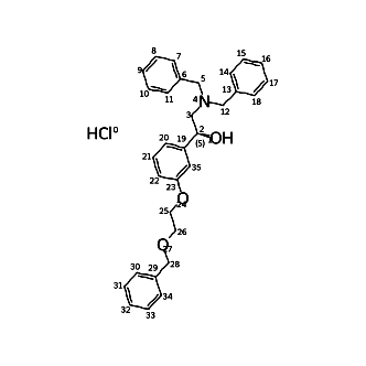 Cl.O[C@H](CN(Cc1ccccc1)Cc1ccccc1)c1cccc(OCCOCc2ccccc2)c1